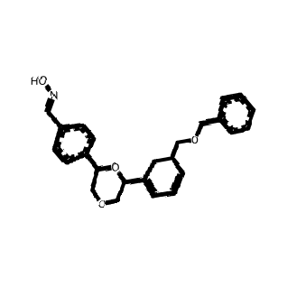 ON=Cc1ccc(C2COCC(C3=CC=CC(COCc4ccccc4)C3)O2)cc1